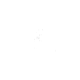 CCCCC1CCC(C(=O)C2C(=O)N(C(=O)OC(C)(C)C)c3cc(Cl)ccc32)CC1